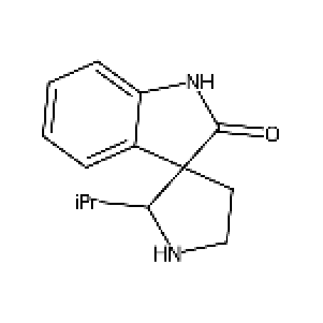 CC(C)C1NCCC12C(=O)Nc1ccccc12